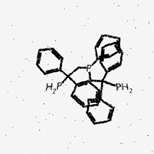 PC(CP(CC(P)(c1ccccc1)c1ccccc1)c1ccccc1)(c1ccccc1)c1ccccc1